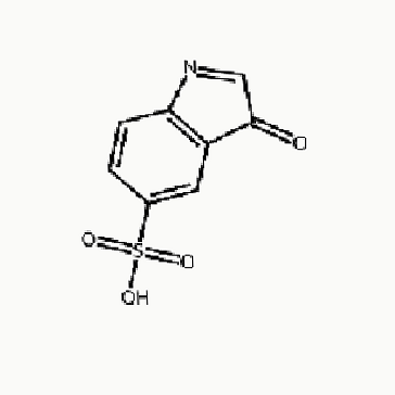 O=C1C=Nc2ccc(S(=O)(=O)O)cc21